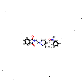 CO[C@@H]1CN(CCN2C(=O)c3ccccc3C2=O)CC[C@@H]1CON(C(C)=O)c1ccccc1